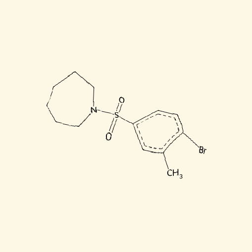 Cc1cc(S(=O)(=O)N2CCCCCC2)ccc1Br